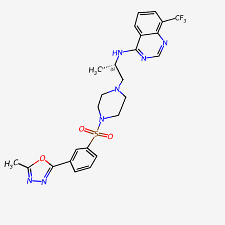 Cc1nnc(-c2cccc(S(=O)(=O)N3CCN(C[C@H](C)Nc4ncnc5c(C(F)(F)F)cccc45)CC3)c2)o1